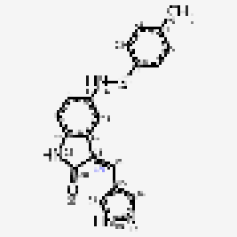 Cc1ccc(SNc2ccc3c(c2)/C(=C/c2cn[nH]c2)C(=O)N3)cc1